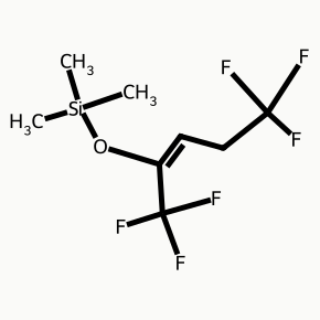 C[Si](C)(C)OC(=CCC(F)(F)F)C(F)(F)F